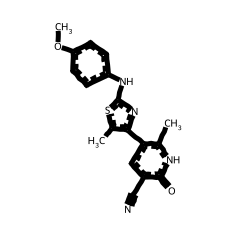 COc1ccc(Nc2nc(-c3cc(C#N)c(=O)[nH]c3C)c(C)s2)cc1